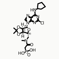 CN(C[C@H]1O[C@@H](n2cnc3c(NC4CCCC4)nc(Cl)nc32)[C@@H]2OC(C)(C)O[C@@H]21)C(=O)CP(=O)(O)O